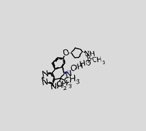 CB(O)N[C@H]1CC[C@H](Oc2ccc3c(c2)/C(=N\O)C(C)(C)c2c(N)ncnc2-3)CC1